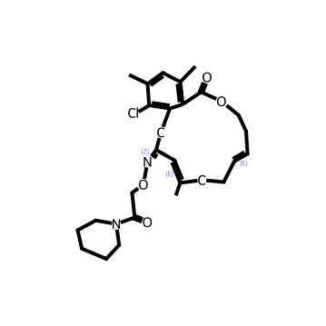 C/C1=C\C(=N/OCC(=O)N2CCCCC2)Cc2c(Cl)c(C)cc(C)c2C(=O)OCC/C=C/CC1